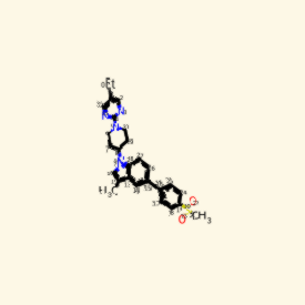 CCc1cnc(N2CCC(n3cc(C)c4cc(-c5ccc(S(C)(=O)=O)cc5)ccc43)CC2)nc1